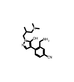 C[C]([CH]N(C)C)Cn1ncc(-c2ccc(C#N)cc2CN)c1O